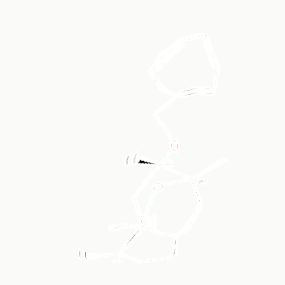 C[C@]12CC3CC[C@@H](O1)[C@@]3(C)C[C@@H]2OCc1ccccc1